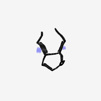 C/C=c1/cco/c1=C/C